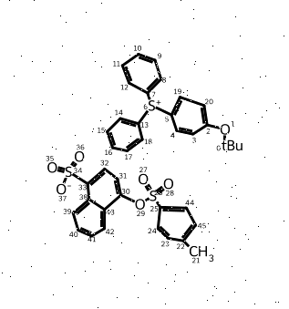 CC(C)(C)Oc1ccc([S+](c2ccccc2)c2ccccc2)cc1.Cc1ccc(S(=O)(=O)Oc2ccc(S(=O)(=O)[O-])c3ccccc23)cc1